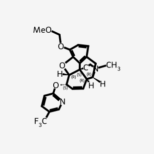 COCOc1ccc2c3c1O[C@H]1[C@@H](Oc4ccc(C(F)(F)F)cn4)C=C[C@H]4[C@@H](C2)N(C)CC[C@@]341